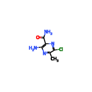 Cc1nc(N)c(C(N)=O)nc1Cl